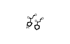 O=CCC(=O)c1ccccc1.O=CCC(=O)c1ccccc1.[Pt]